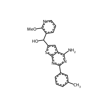 COc1ncccc1C(O)c1cc2c(N)nc(-c3cccc(C)c3)nc2s1